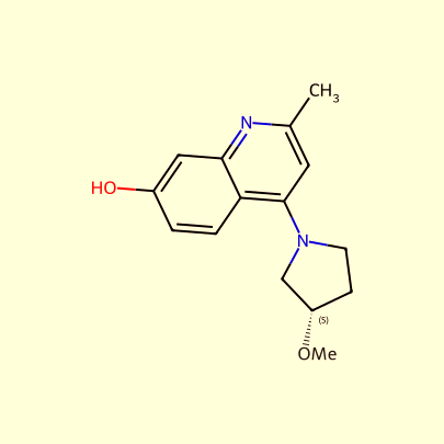 CO[C@H]1CCN(c2cc(C)nc3cc(O)ccc23)C1